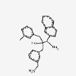 Cc1cccc(CC(O)(Cc2cccc(CN)c2)C(N)c2ccc3ccccc3c2)c1